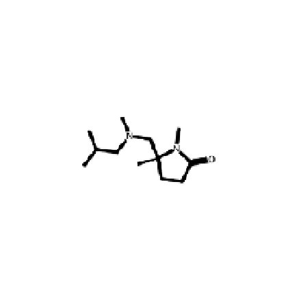 CC(C)CN(C)C[C@@]1(C)CCC(=O)N1C